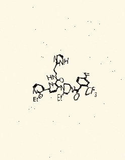 CCOc1ncccc1-c1ccc(N2CCN(C(=O)c3ccc(F)cc3C(F)(F)F)C[C@H]2CC)c(C(=O)NCCc2ncc[nH]2)n1